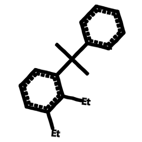 CCc1cccc(C(C)(C)c2[c]cccc2)c1CC